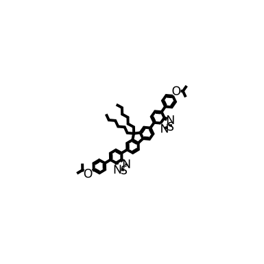 CCCCCCC1(CCCCCC)c2cc(-c3ccc(-c4ccc(OC(C)C)cc4)c4nsnc34)ccc2-c2ccc(-c3ccc(-c4ccc(OC(C)C)cc4)c4nsnc34)cc21